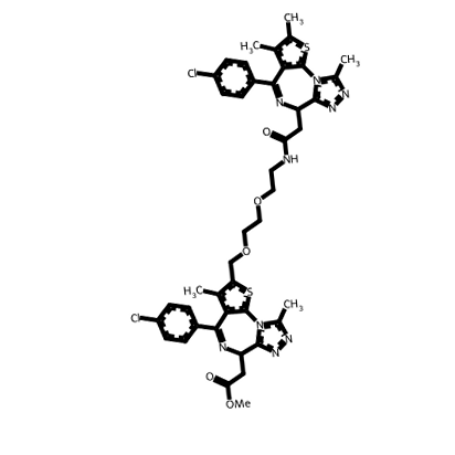 COC(=O)CC1N=C(c2ccc(Cl)cc2)c2c(sc(COCCOCCNC(=O)CC3N=C(c4ccc(Cl)cc4)c4c(sc(C)c4C)-n4c(C)nnc43)c2C)-n2c(C)nnc21